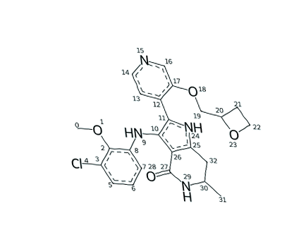 COc1c(Cl)cccc1Nc1c(-c2ccncc2OCC2CCO2)[nH]c2c1C(=O)NC(C)C2